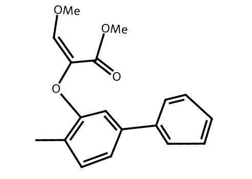 COC=C(Oc1cc(-c2ccccc2)ccc1C)C(=O)OC